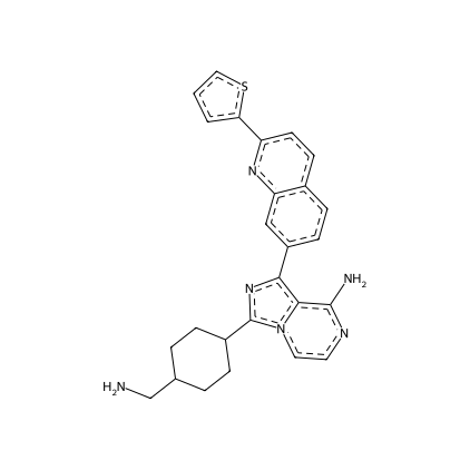 NCC1CCC(c2nc(-c3ccc4ccc(-c5cccs5)nc4c3)c3c(N)nccn23)CC1